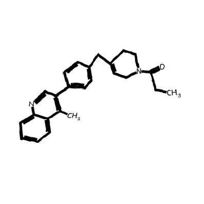 CCC(=O)N1CC=C(Cc2ccc(-c3cnc4ccccc4c3C)cc2)CC1